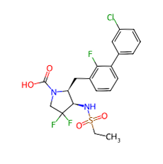 CCS(=O)(=O)N[C@@H]1[C@H](Cc2cccc(-c3cccc(Cl)c3)c2F)N(C(=O)O)CC1(F)F